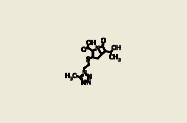 Cc1nnnn1CCSC1=C(C(=O)O)N2C(=O)C(C(C)O)C2C1